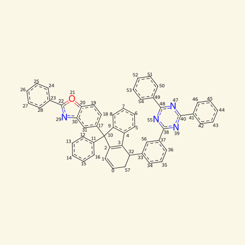 C1=CC2=C(c3ccccc3C2(c2ccccc2)c2ccc3oc(-c4ccccc4)nc3c2)C(c2cccc(-c3nc(-c4ccccc4)nc(-c4ccccc4)n3)c2)C1